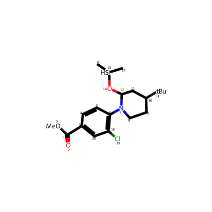 COC(=O)c1ccc(N2CCC(C(C)(C)C)CC2O[SiH](C)C)c(Cl)c1